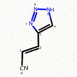 N#C/C=C/c1c[nH]nn1